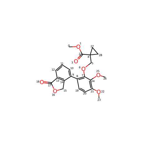 COC(=O)C1(COc2c(-c3cccc4c3COC4=O)ccc(OC)c2OC)CC1